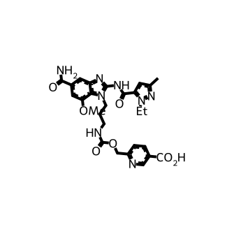 CCn1nc(C)cc1C(=O)Nc1nc2cc(C(N)=O)cc(OC)c2n1CCCNC(=O)OCc1ccc(C(=O)O)cn1